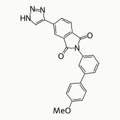 COc1ccc(-c2cccc(N3C(=O)c4ccc(-c5c[nH]nn5)cc4C3=O)c2)cc1